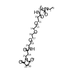 CCNC(=O)C(C)NC(=O)CCOCCOCCOCCNC(=O)CCN1C(=O)C=CC1=O